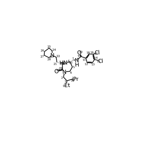 CCC(CN1CC[C@@H](CNC(=O)c2ccc(Cl)c(Cl)c2)N[C@@H](CCN2CCCCC2)C1=O)C(C)C